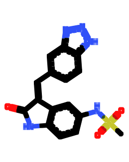 CS(=O)(=O)Nc1ccc2c(c1)/C(=C\c1ccc3[nH]nnc3c1)C(=O)N2